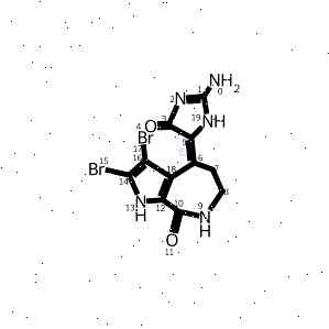 NC1=NC(=O)/C(=C2/CCNC(=O)c3[nH]c(Br)c(Br)c32)N1